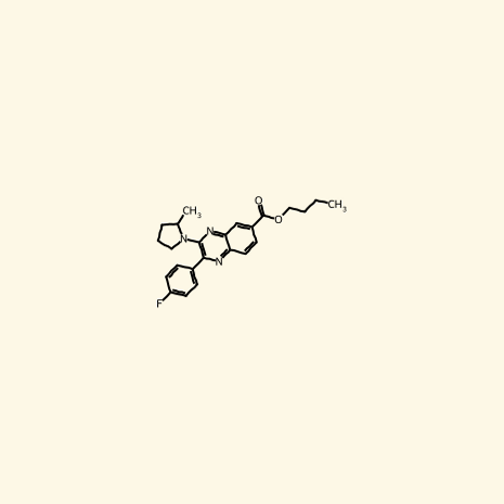 CCCCOC(=O)c1ccc2nc(-c3ccc(F)cc3)c(N3CCCC3C)nc2c1